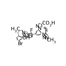 CC1Cc2ccc(Br)cc2S(O)(O)N(Cc2cccc(-c3cccc(-n4ncc(C(=O)O)c4[C@@H]4C[C@H]4c4cn(C)nn4)c3)c2F)C1